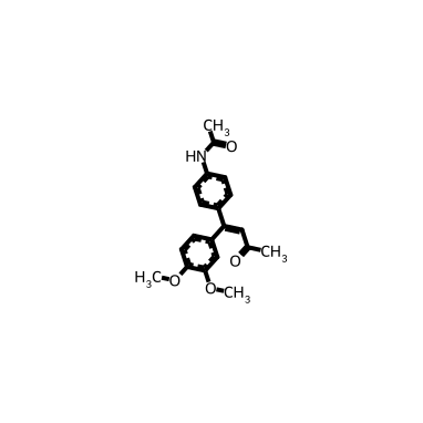 COc1ccc(/C(=C\C(C)=O)c2ccc(NC(C)=O)cc2)cc1OC